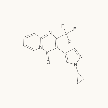 O=c1c(-c2cnn(C3CC3)c2)c(C(F)(F)F)nc2ccccn12